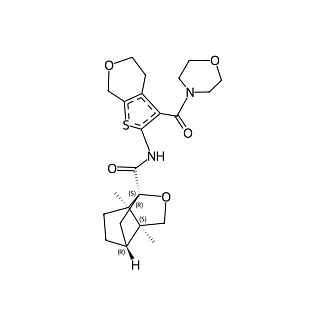 C[C@]12CC[C@@H]3C[C@]1(C(=O)Nc1sc4c(c1C(=O)N1CCOCC1)CCOC4)OC[C@@]32C